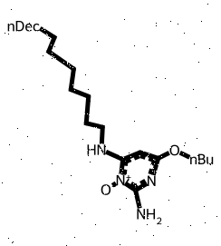 CCCCCCCCCCCCCCCCCNc1cc(OCCCC)nc(N)[n+]1[O-]